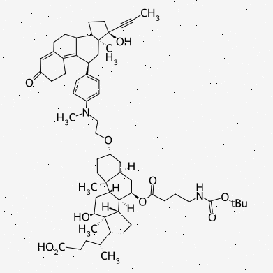 CC#C[C@@]1(O)CCC2C3CCC4=CC(=O)CCC4=C3[C@H](c3ccc(N(C)CCO[C@H]4CC[C@@]5(C)[C@@H](C4)C[C@@H](OC(=O)CCCNC(=O)OC(C)(C)C)[C@@H]4[C@@H]5C[C@H](O)[C@]5(C)[C@@H]([C@H](C)CCC(=O)O)CC[C@@H]45)cc3)C[C@@]21C